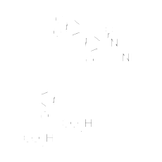 O=C(O)CCCOc1cccc(CCCCCCOc2cc(C(=O)N3CCCNCC3)cc(-c3ccc4c(c3)OCO4)c2)c1CCC(=O)O